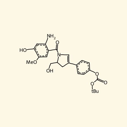 COc1cc(C(=O)N2C=C(c3ccc(OC(=O)OC(C)(C)C)cc3)CC2CO)c(N)cc1O